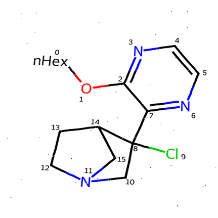 CCCCCCOc1nccnc1C1(Cl)CN2CCC1C2